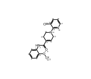 O=C(Nc1ccccc1OC(F)(F)F)C1=CCN(c2ncccc2Cl)CC1